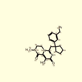 CC(C)Cc1cccc(C2(Cc3nc(=O)c(O)c4n3CCN(C)C4=O)CCCC2)c1